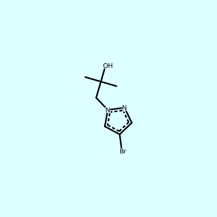 CC(C)(O)Cn1cc(Br)cn1